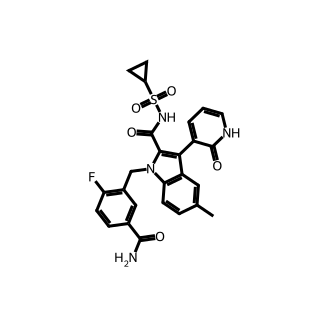 Cc1ccc2c(c1)c(-c1ccc[nH]c1=O)c(C(=O)NS(=O)(=O)C1CC1)n2Cc1cc(C(N)=O)ccc1F